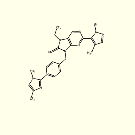 Cc1cnn(C(C)C)c1-c1ncc2c(n1)n(Cc1ccc(-c3nc(C(F)(F)F)cn3C)cc1)c(=N)n2CC(F)(F)F